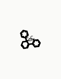 OC1(c2ccccc2)CC=CC=C1c1ccccc1C(F)(F)F